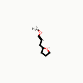 COC=CCC1CCCO1